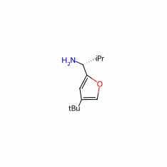 CC(C)[C@@H](N)c1cc(C(C)(C)C)co1